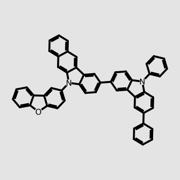 c1ccc(-c2ccc3c(c2)c2cc(-c4ccc5c(c4)c4cc6ccccc6cc4n5-c4ccc5oc6ccccc6c5c4)ccc2n3-c2ccccc2)cc1